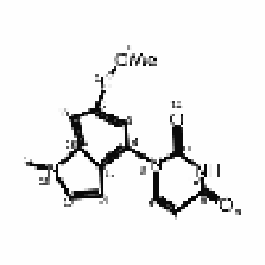 COCc1cc(-n2ccc(=O)[nH]c2=O)c2ccn(C)c2c1